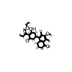 CCO/N=C(/CC)C1=C(O)CC(c2c(C)c(OC)c(C)c3c2CCCC3=O)CC1=O